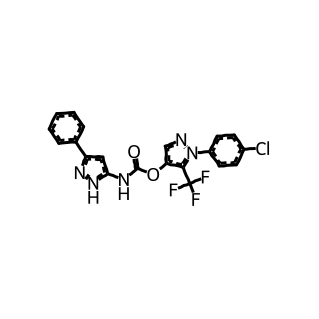 O=C(Nc1cc(-c2ccccc2)n[nH]1)Oc1cnn(-c2ccc(Cl)cc2)c1C(F)(F)F